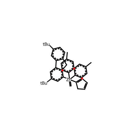 [CH2]=[Zr]([C]1=CC=CC1)([c]1ccc(C)cc1)([c]1ccc(C)cc1)[c]1cc(C(C)(C)C)cc2c1Cc1ccc(C(C)(C)C)cc1-2